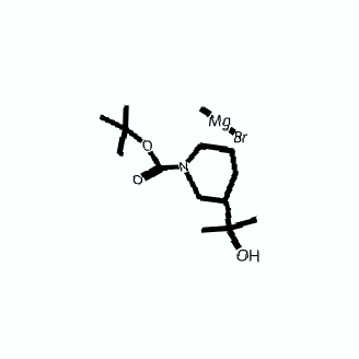 CC(C)(C)OC(=O)N1CCCC(C(C)(C)O)C1.[CH3][Mg][Br]